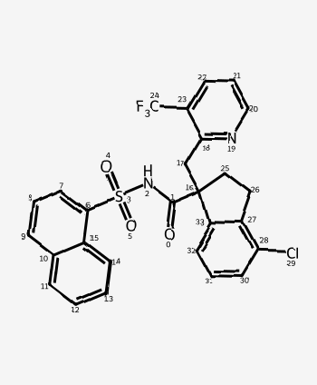 O=C(NS(=O)(=O)c1cccc2ccccc12)C1(Cc2ncccc2C(F)(F)F)CCc2c(Cl)cccc21